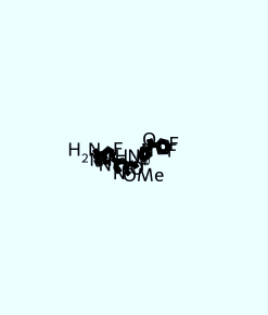 COc1ncc(-c2c(F)cc3c(N)ncnn23)cc1C(=O)N[C@@H]1CN(C(=O)C2CCC(F)(F)CC2)C[C@@H]1F